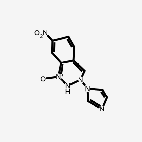 O=[N+]([O-])c1ccc2c(c1)=[N+]([O-])NN(n1ccnc1)C=2